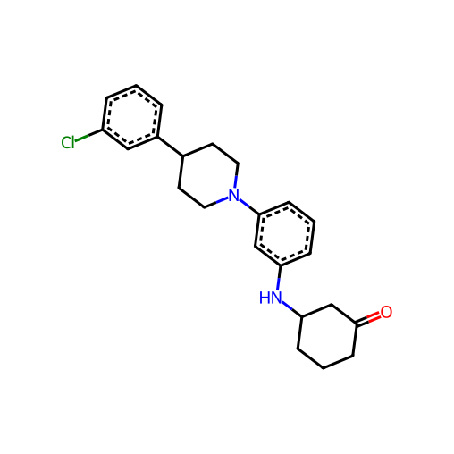 O=C1CCCC(Nc2cccc(N3CCC(c4cccc(Cl)c4)CC3)c2)C1